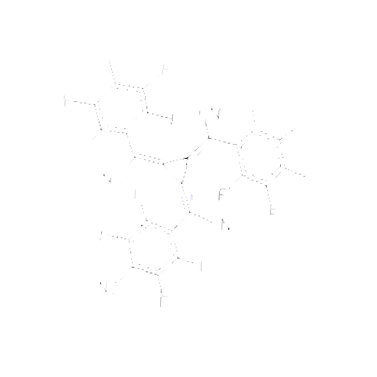 Cc1c(F)c(F)c(C(C#N)=C2C(=C(/C#N)c3c(F)c(F)c(C)c(F)c3F)/C2=C(/C#N)c2c(F)c(F)c(C#N)c(F)c2F)c(F)c1F